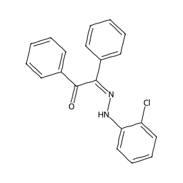 O=C(C(=NNc1ccccc1Cl)c1ccccc1)c1ccccc1